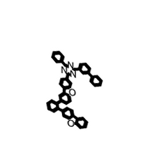 c1ccc(-c2cccc(-c3nc(-c4ccccc4)nc(-c4ccc5c(c4)oc4ccc(-c6ccccc6-c6ccc7c(c6)oc6ccccc67)cc45)n3)c2)cc1